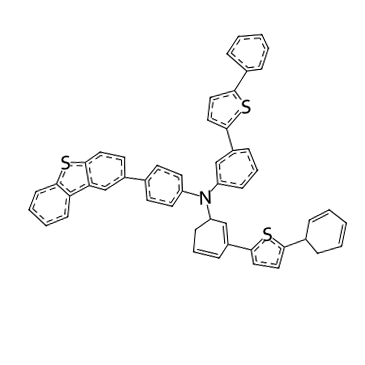 C1=CCC(c2ccc(C3=CC(N(c4ccc(-c5ccc6sc7ccccc7c6c5)cc4)c4cccc(-c5ccc(-c6ccccc6)s5)c4)CC=C3)s2)C=C1